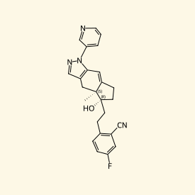 C[C@]12Cc3cnn(-c4cccnc4)c3C=C1CC[C@@]2(O)CCc1ccc(F)cc1C#N